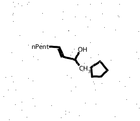 C1CCCC1.CCCCCC=CC(C)O